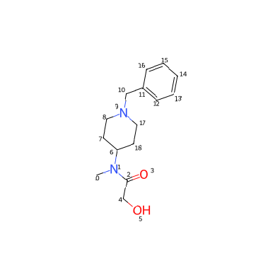 CN(C(=O)CO)C1CCN(Cc2ccccc2)CC1